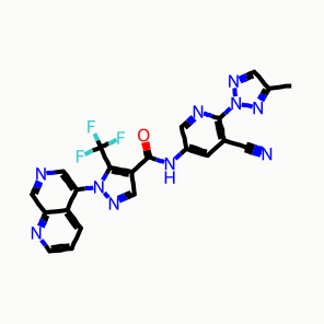 Cc1cnn(-c2ncc(NC(=O)c3cnn(-c4cncc5ncccc45)c3C(F)(F)F)cc2C#N)n1